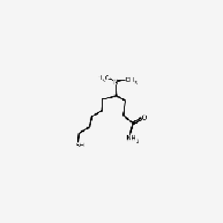 CN(C)C(CCCCCS)CCC(N)=O